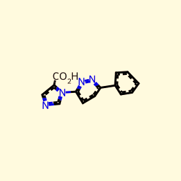 O=C(O)c1cncn1-c1ccc(-c2ccccc2)nn1